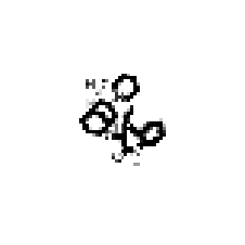 C[C@@H]1CCC[C@H](CCn2c(=O)c(=O)[nH]c3ccccc32)N1[C@H]1C[C@@H]2CCC[C@@H](C2)C1